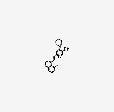 CCc1cnc(C=Cc2cccc3cccc(C)c23)cc1N1CCCCC1